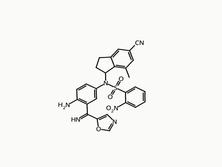 Cc1cc(C#N)cc2c1C(N(c1ccc(N)c(C(=N)c3cnco3)c1)S(=O)(=O)c1ccccc1[N+](=O)[O-])CC2